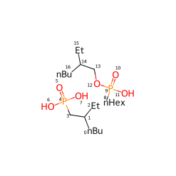 CCCCC(CC)CP(=O)(O)O.CCCCCCP(=O)(O)OCC(CC)CCCC